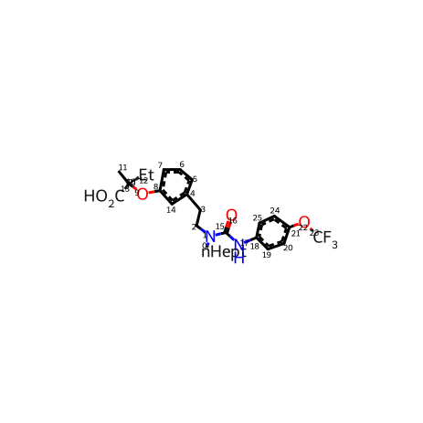 CCCCCCCN(CCc1cccc(O[C@](C)(CC)C(=O)O)c1)C(=O)Nc1ccc(OC(F)(F)F)cc1